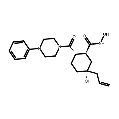 C=CC[C@@]1(O)CC[C@H](C(=O)N2CCN(c3ccccc3)CC2)[C@@H](C(=O)NO)C1